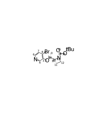 C[C@@H](Oc1cnccc1Br)[C@H]1CCN1C(=O)OC(C)(C)C